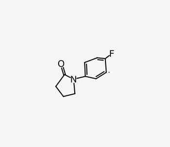 O=C1CCCN1c1c[c]c(F)cc1